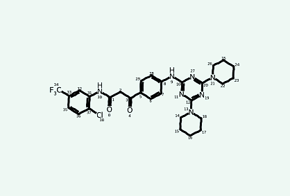 O=C(CC(=O)c1ccc(Nc2nc(N3CCCCC3)nc(N3CCCCC3)n2)cc1)Nc1cc(C(F)(F)F)ccc1Cl